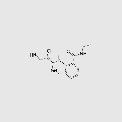 CCNC(=O)c1ccccc1N/C(N)=C(\Cl)C=N